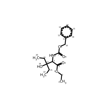 CCOC(=O)C(NC(=O)OCc1ccccc1)C(O)(CC)CC